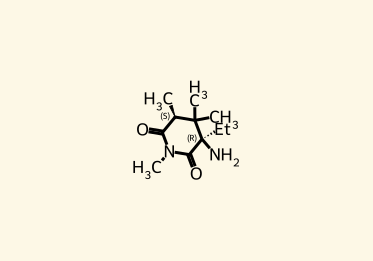 CC[C@]1(N)C(=O)N(C)C(=O)[C@@H](C)C1(C)C